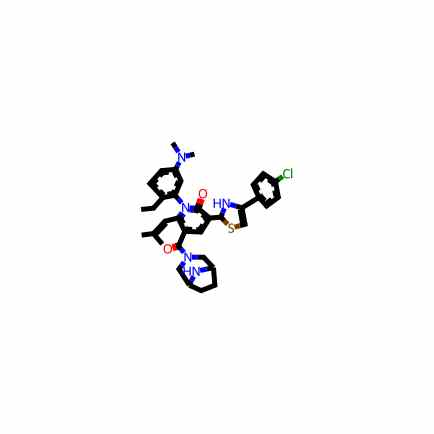 CCc1ccc(N(C)C)cc1-n1c(C=C(C)C)c(C(=O)N2CC3CCC(C2)N3)cc(C2NC(c3ccc(Cl)cc3)=CS2)c1=O